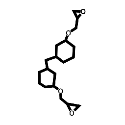 C1CC(CC2CCCC(OCC3CO3)C2)CC(OCC2CO2)C1